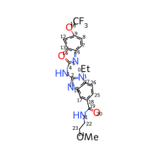 CCn1c(Nc2nc3ccc(OC(F)(F)F)cc3o2)nc2cc(C(=O)NCCOC)ccc21